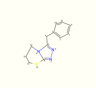 c1ccc(Cc2nnc3n2CCCS3)cc1